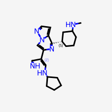 CNC1CCC[C@H](c2nc(/C(C=N)=C/NC3CCCC3)cn3nccc23)C1